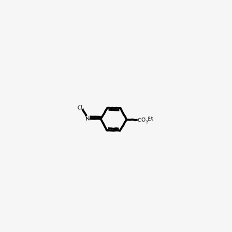 CCOC(=O)C1C=CC(=NCl)C=C1